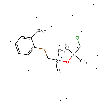 C[Si](C)(CCl)O[Si](C)(C)CSc1ccccc1C(=O)O